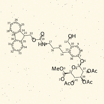 COC(=O)[C@H]1O[C@@H](Oc2ccc(CO)c(CCCCNC(=O)OCC3c4ccccc4-c4ccccc43)c2)[C@H](OC(C)=O)[C@@H](OC(C)=O)[C@@H]1OC(C)=O